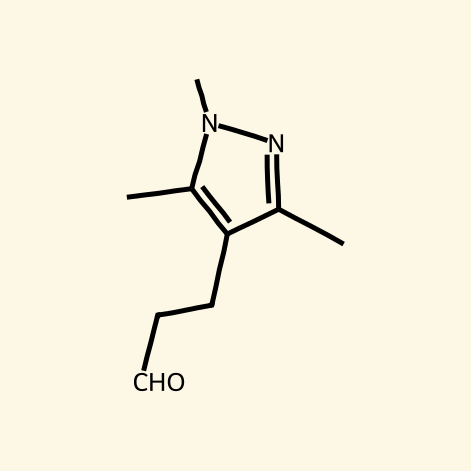 Cc1nn(C)c(C)c1CCC=O